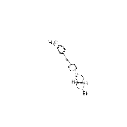 CCC1CC[C@@H]2C[C@H](c3ccc(C#Cc4ccc(C)cc4)cc3)CC[C@@H]2C1